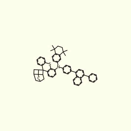 CC1(C)CCC(C)(C)c2cc(N(c3ccc(-c4ccc(-c5ccccc5)c5ccccc45)cc3)c3cccc4c3Sc3ccccc3C43C4CC5CC6CC3C64C5)ccc21